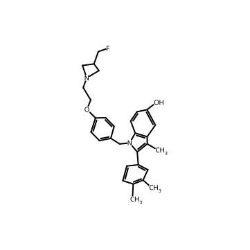 Cc1ccc(-c2c(C)c3cc(O)ccc3n2Cc2ccc(OCCN3CC(CF)C3)cc2)cc1C